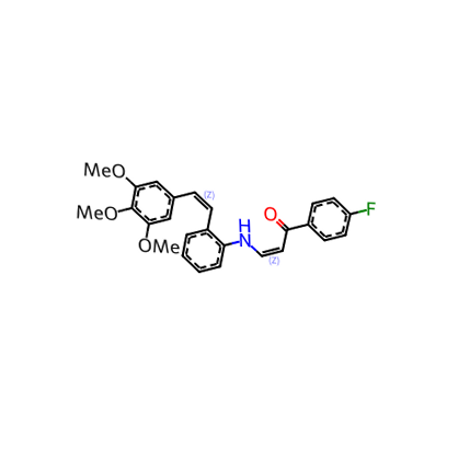 COc1cc(/C=C\c2ccccc2N/C=C\C(=O)c2ccc(F)cc2)cc(OC)c1OC